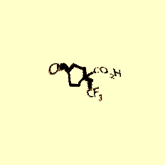 O=C1CCC(CC(F)(F)F)(C(=O)O)CC1